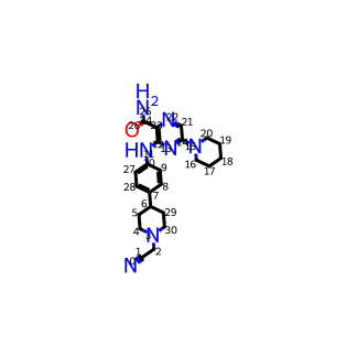 N#CCN1CCC(c2ccc(Nc3nc(N4CCCCC4)cnc3C(N)=O)cc2)CC1